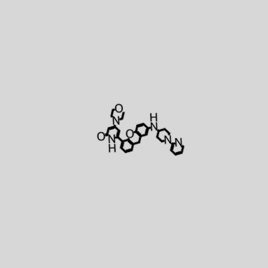 O=c1cc(N2CCOCC2)cc(-c2cccc3c2Oc2ccc(NC4CCN(c5ccccn5)CC4)cc2C3)[nH]1